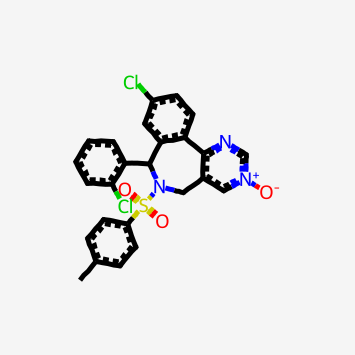 Cc1ccc(S(=O)(=O)N2Cc3c[n+]([O-])cnc3-c3ccc(Cl)cc3C2c2ccccc2Cl)cc1